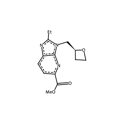 CCc1nc2ccc(C(=O)OC)nc2n1C[C@@H]1CCO1